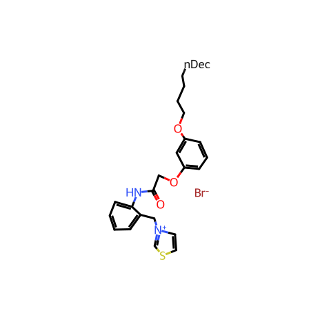 CCCCCCCCCCCCCCOc1cccc(OCC(=O)Nc2ccccc2C[n+]2ccsc2)c1.[Br-]